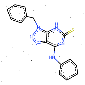 S=c1nc(Nc2ccccc2)c2nnn(Cc3ccccc3)c2[nH]1